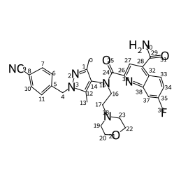 Cc1nn(Cc2ccc(C#N)cc2)c(C)c1N(CCN1CCOCC1)C(=O)c1cc(C(N)=O)c2ccc(F)cc2n1